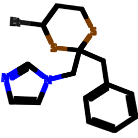 CCC1CCSC(Cc2ccccc2)(Cn2ccnc2)S1